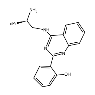 CCC[C@@H](N)CNc1nc(-c2ccccc2O)nc2ccccc12